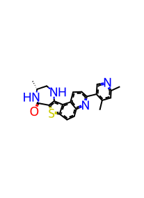 Cc1cc(C)c(-c2ccc3c(ccc4sc5c(c43)NC[C@@H](C)NC5=O)n2)cn1